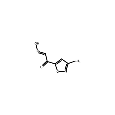 Cc1cc(C(=O)C=NO)on1